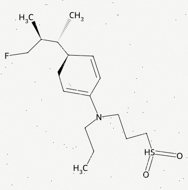 CCCN(CCC[SH](=O)=O)C1=CC[C@@H]([C@@H](C)[C@H](C)CF)C=C1